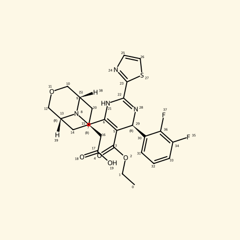 CCOC(=O)C1=C(CN2[C@@H]3COC[C@H]2C[C@H](CC(=O)O)C3)NC(c2nccs2)=N[C@H]1c1cccc(F)c1F